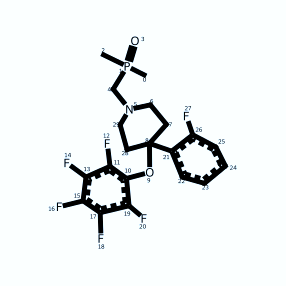 CP(C)(=O)CN1CCC(Oc2c(F)c(F)c(F)c(F)c2F)(c2ccccc2F)CC1